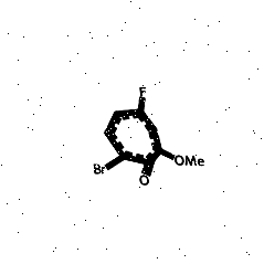 COc1cc(F)ccc(Br)c1=O